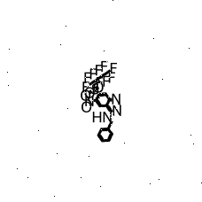 O=[N+]([O-])c1cc2c(NCc3ccccc3)ncnc2cc1S(=O)(=O)C(F)(F)C(F)(F)C(F)(F)C(F)(F)F